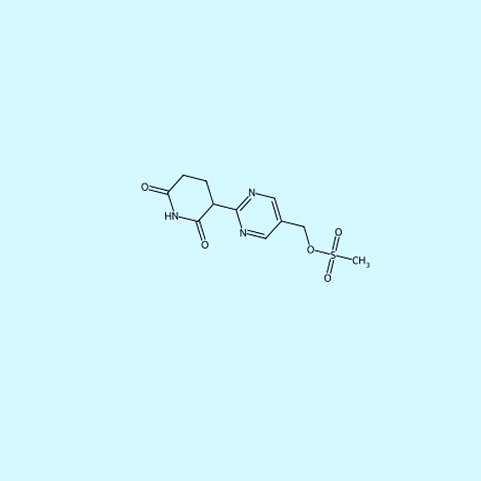 CS(=O)(=O)OCc1cnc(C2CCC(=O)NC2=O)nc1